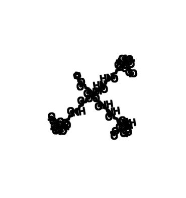 CC(=O)NC1C(OCCCCC(=O)NCCCCC(=O)CCOCC(COCCC(=O)NCCCNC(=O)CCCCOC2OC(COC(C)=O)C(OC(C)=O)C(OC(C)=O)C2NC(C)=O)(COCCC(=O)NCCCNC(=O)CCCCOC2OC(COC(C)=O)C(OC(C)=O)C(OC(C)=O)C2NC(C)=O)NC(=O)CCCC(=O)OCc2ccccc2)OC(COC(C)=O)C(OC(C)=O)C1OC(C)=O